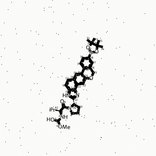 COC(O)N[C@H](C(=O)N1CCC[C@H]1c1nc2c(ccc3cc4c(cc32)OCc2cc(B3OC(C)(C)C(C)(C)O3)ccc2-4)[nH]1)C(C)C